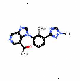 CNC(=O)c1cncc2ncn(-c3cccc(-c4ncn(C)n4)c3OC)c12